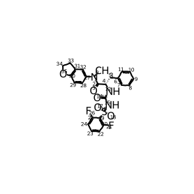 CN(C(=O)[C@H](Cc1ccccc1)NC(=O)NS(=O)(=O)c1c(F)cccc1F)c1ccc2c(c1)CCO2